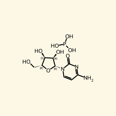 Nc1ccn([C@@H]2O[C@H](CO)[C@@H](O)[C@H]2O)c(=O)n1.OP(O)O